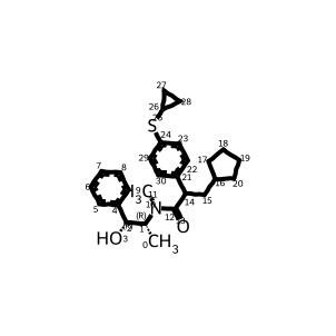 C[C@H]([C@H](O)c1ccccc1)N(C)C(=O)C(CC1CCCC1)c1ccc(SC2CC2)cc1